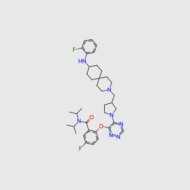 CC(C)N(C(=O)c1cc(F)ccc1Oc1nncnc1N1CCC(CN2CCC3(CCC(Nc4ccccc4F)CC3)CC2)C1)C(C)C